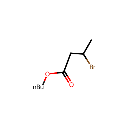 CCCCOC(=O)CC(C)Br